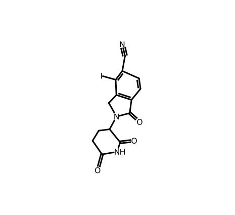 N#Cc1ccc2c(c1I)CN(C1CCC(=O)NC1=O)C2=O